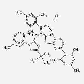 CCCCC1C=C(C(C)(C)C)C=[C]1[Zr+2](=[C](c1ccccc1)c1ccccc1)[c]1c(-c2c(C)cc(C)cc2C)ccc2c1Cc1cc(-c3c(C)cc(C)cc3C)ccc1-2.[Cl-].[Cl-]